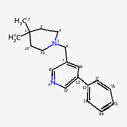 CC1(C)CCN(Cc2cncc(-c3ccccc3)c2)CC1